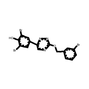 Oc1c(Br)cc(-c2cnc(OCc3cccc(Br)c3)nn2)cc1Br